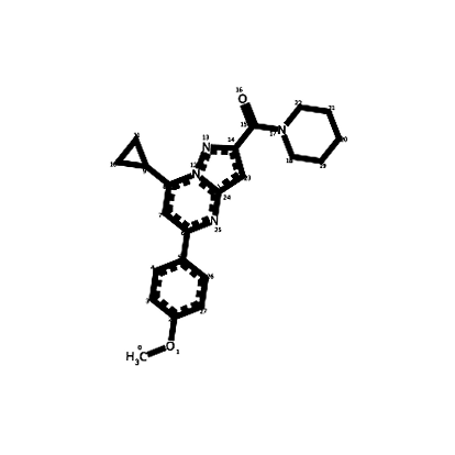 COc1ccc(-c2cc(C3CC3)n3nc(C(=O)N4CCCCC4)cc3n2)cc1